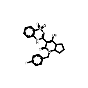 O=C1C(C2=NS(=O)(=O)c3ccccc3N2)=C(O)C2CCCC2N1Cc1ccc(F)cc1